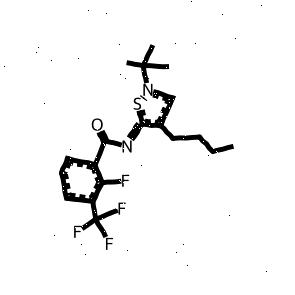 CCCCc1cn(C(C)(C)C)s/c1=N\C(=O)c1cccc(C(F)(F)F)c1F